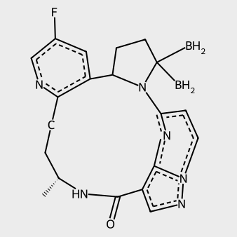 BC1(B)CCC2c3cc(F)cnc3CC[C@@H](C)NC(=O)c3cnn4ccc(nc34)N21